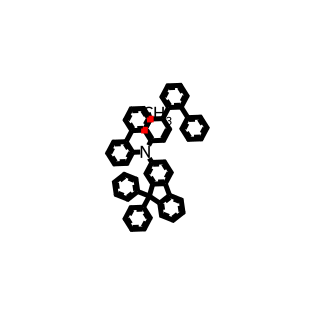 CC1C=C(N(c2ccc3c(c2)C(c2ccccc2)(c2ccccc2)c2ccccc2-3)c2ccccc2-c2ccccc2)C=CC1c1ccccc1-c1ccccc1